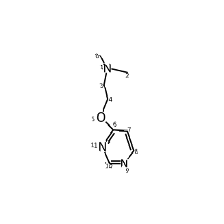 CN(C)CCOc1ccn[c]n1